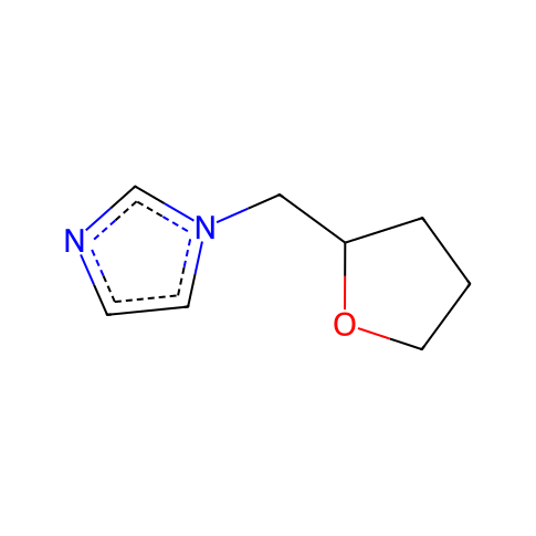 c1cn(CC2CCCO2)cn1